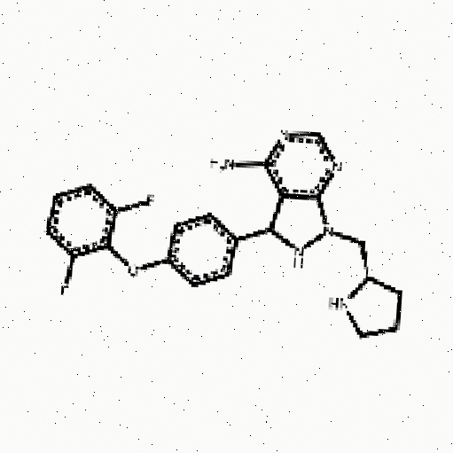 Nc1ncnc2c1C(c1ccc(Oc3c(F)cccc3F)cc1)NN2C[C@H]1CCCN1